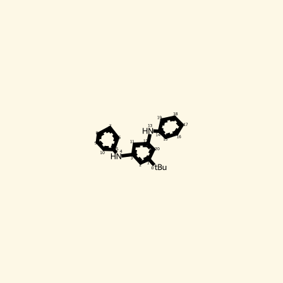 CC(C)(C)c1cc(Nc2ccccc2)cc(Nc2ccccc2)c1